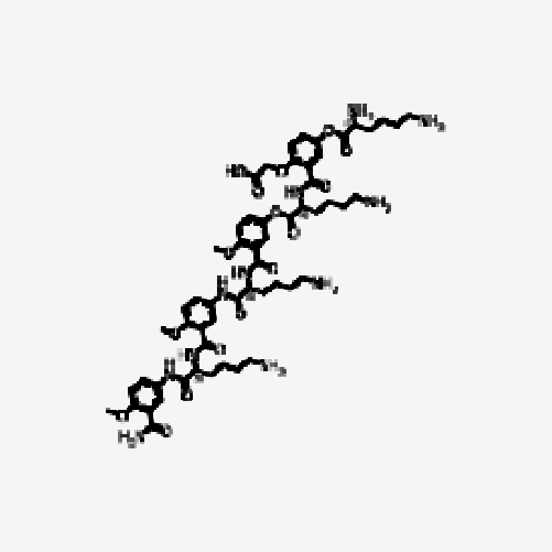 COc1ccc(NC(=O)[C@H](CCCCN)NC(=O)c2cc(NC(=O)[C@H](CCCCN)NC(=O)c3cc(OC(=O)[C@H](CCCCN)NC(=O)c4cc(OC(=O)[C@@H](N)CCCCN)ccc4OCC(=O)O)ccc3OC)ccc2OC)cc1C(N)=O